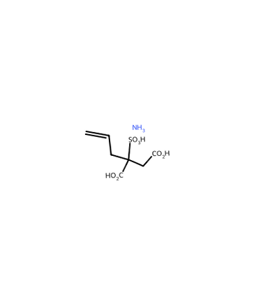 C=CCC(CC(=O)O)(C(=O)O)S(=O)(=O)O.N